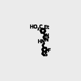 CCc1cc(-c2cc(NCCc3cc(F)c4sccc4c3)ncn2)ccc1C(=O)O